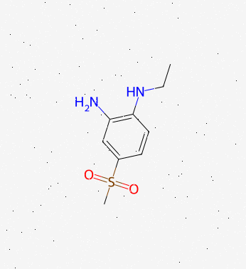 CCNc1ccc(S(C)(=O)=O)cc1N